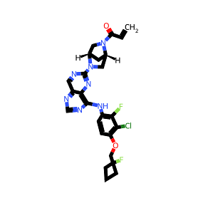 C=CC(=O)N1C[C@@H]2C[C@H]1CN2c1ncc2ncnc(Nc3ccc(OCC4(F)CCC4)c(Cl)c3F)c2n1